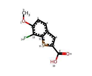 COc1ccc2cc(C(=O)O)sc2c1F